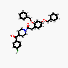 O=C(c1ccc(F)cc1)C1CCN(C(=O)Cc2ccc(OCc3ccccc3)cc2OCc2ccccc2)CC1